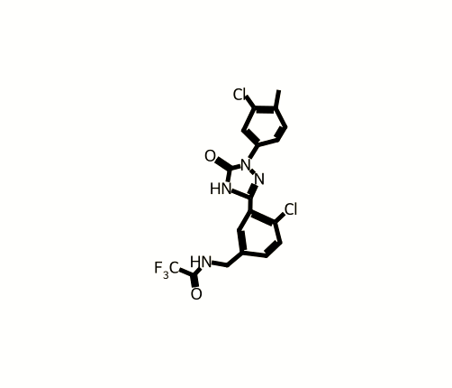 Cc1ccc(-n2nc(-c3cc(CNC(=O)C(F)(F)F)ccc3Cl)[nH]c2=O)cc1Cl